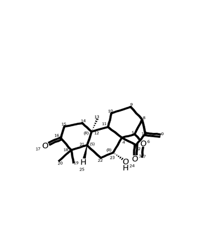 C=C1C(=O)C23C(OC)C1CCC2[C@]1(C)CCC(=O)C(C)(C)[C@H]1C[C@H]3O